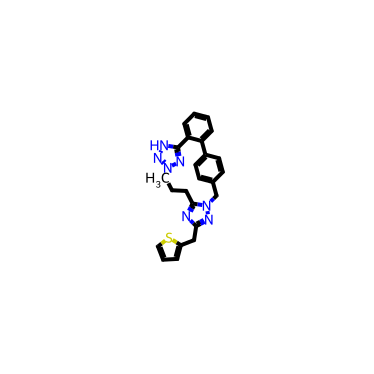 CCCc1nc(Cc2cccs2)nn1Cc1ccc(-c2ccccc2-c2nnn[nH]2)cc1